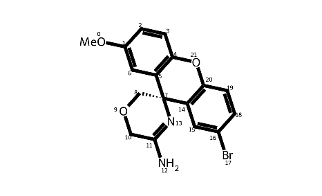 COc1ccc2c(c1)[C@@]1(COCC(N)=N1)c1cc(Br)ccc1O2